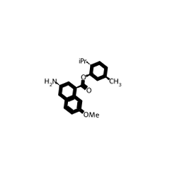 COc1ccc2c(c1)[C@H](C(=O)O[C@@H]1C[C@H](C)CC[C@H]1C(C)C)C[C@@H](N)C2